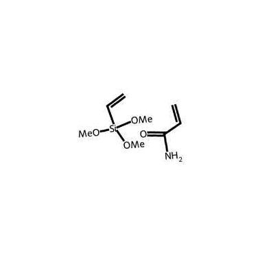 C=CC(N)=O.C=C[Si](OC)(OC)OC